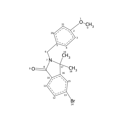 COc1ccc(CN2C(=O)c3ccc(Br)cc3C2(C)C)cc1